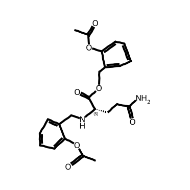 CC(=O)Oc1ccccc1CN[C@@H](CCC(N)=O)C(=O)OCc1ccccc1OC(C)=O